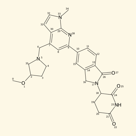 COC1CCN(Cc2cc(-c3ccc4c(c3)CN(C3CCC(=O)NC3=O)C4=O)nc3c2ccn3C)C1